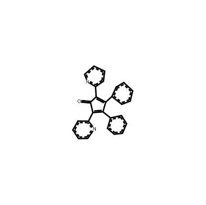 O=C1C(c2ccccn2)=C(c2ccccc2)C(c2ccccc2)=C1c1ccccn1